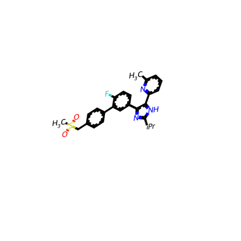 Cc1cccc(-c2[nH]c(C(C)C)nc2-c2ccc(F)c(-c3ccc(CS(C)(=O)=O)cc3)c2)n1